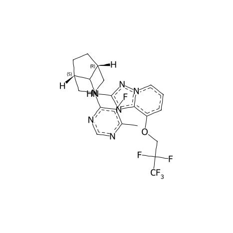 Cc1ncnc(N2C[C@H]3CC[C@@H](C2)C3Nc2nc3c(OCC(F)(F)C(F)(F)F)cccn3n2)c1F